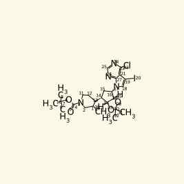 CC1CN(C(=O)OC(C)(C)C)CCC1[C@H]1C[C@@H](n2cc(I)c3c(Cl)ncnc32)[C@@H]2OC(C)(C)O[C@@H]21